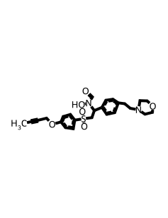 CC#CCOc1ccc(S(=O)(=O)CC(c2ccc(CCN3CCOCC3)cc2)N(O)C=O)cc1